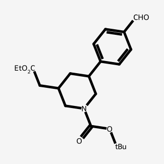 CCOC(=O)CC1CC(c2ccc(C=O)cc2)CN(C(=O)OC(C)(C)C)C1